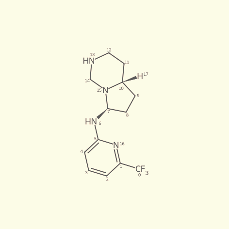 FC(F)(F)c1cccc(N[C@@H]2CC[C@H]3CCNCN32)n1